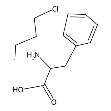 CCCCCl.NC(Cc1ccccc1)C(=O)O